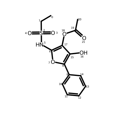 CCS(=O)(=O)Nc1oc(-c2ccccc2)c(O)c1OC(C)=O